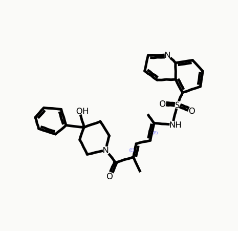 C/C(=C\C=C(/C)C(=O)N1CCC(O)(c2ccccc2)CC1)NS(=O)(=O)c1cccc2ncccc12